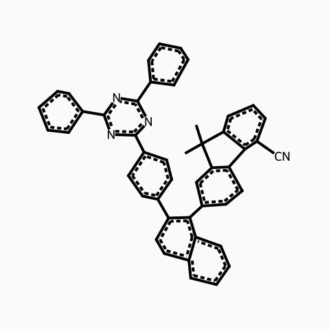 CC1(C)c2cc(-c3c(-c4ccc(-c5nc(-c6ccccc6)nc(-c6ccccc6)n5)cc4)ccc4ccccc34)ccc2-c2c(C#N)cccc21